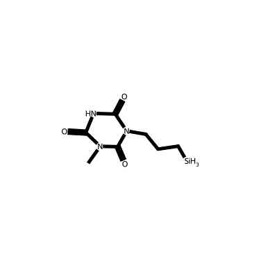 Cn1c(=O)[nH]c(=O)n(CCC[SiH3])c1=O